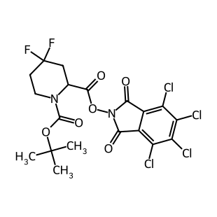 CC(C)(C)OC(=O)N1CCC(F)(F)CC1C(=O)ON1C(=O)c2c(Cl)c(Cl)c(Cl)c(Cl)c2C1=O